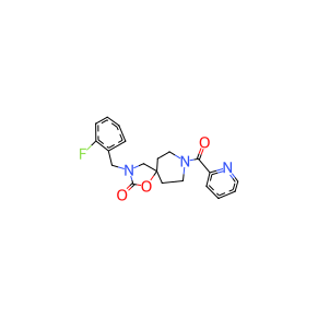 O=C1OC2(CCN(C(=O)c3ccccn3)CC2)CN1Cc1ccccc1F